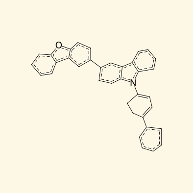 C1=C(c2ccccc2)CCC(n2c3ccccc3c3cc(-c4ccc5oc6ccccc6c5c4)ccc32)=C1